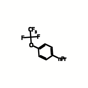 [CH2]CCc1ccc(OC(F)(F)C(F)(F)F)cc1